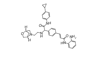 Nc1ccccc1NC(=O)C=Cc1ccc(C(NCCN2C[C@@H]3C[C@H]2CO3)C(=O)Nc2ccc(C3CC3)cc2)cc1